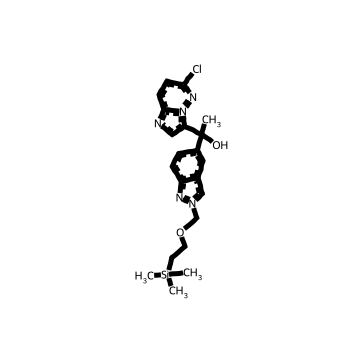 CC(O)(c1ccc2nn(COCC[Si](C)(C)C)cc2c1)c1cnc2ccc(Cl)nn12